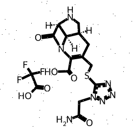 NC(=O)Cn1nnnc1SCC1=C(C(=O)O)N2C(=O)[C@H]3NC[C@@H](C1)[C@H]32.O=C(O)C(F)(F)F